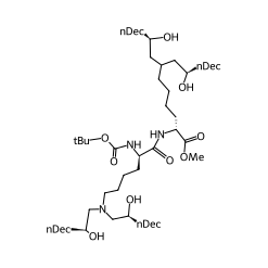 CCCCCCCCCC[C@@H](O)CC(CCCC[C@@H](NC(=O)[C@@H](CCCCN(C[C@@H](O)CCCCCCCCCC)C[C@@H](O)CCCCCCCCCC)NC(=O)OC(C)(C)C)C(=O)OC)C[C@H](O)CCCCCCCCCC